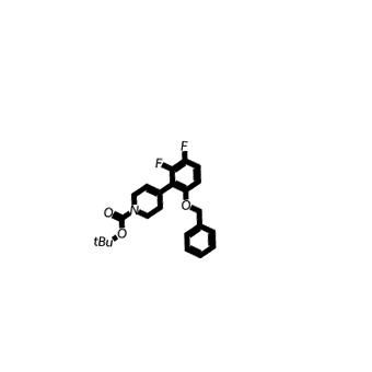 CC(C)(C)OC(=O)N1CC=C(c2c(OCc3ccccc3)ccc(F)c2F)CC1